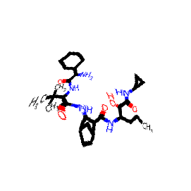 CCCC(NC(=O)C1C2CCC(C2)C1NC(=O)C(NC(=O)C(N)C1CCCCC1)C(C)(C)C)C(O)C(=O)NC1CC1